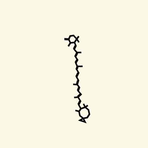 C=C1CCC(C)(C)C(/C=C/C(C)=C/C=C/C(C)=C/C=C/C=C(C)/C=C/C=C(C)/C=C/C2C(C)CC3(CCCC2(C)C)CC3)C1C